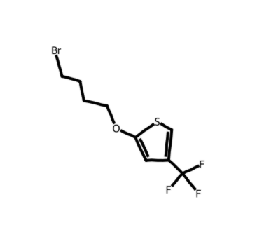 FC(F)(F)c1csc(OCCCCBr)c1